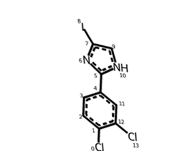 Clc1ccc(-c2nc(I)c[nH]2)cc1Cl